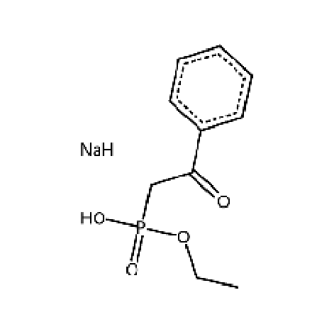 CCOP(=O)(O)CC(=O)c1ccccc1.[NaH]